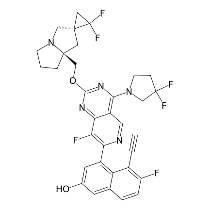 C#Cc1c(F)ccc2cc(O)cc(-c3ncc4c(N5CCC(F)(F)C5)nc(OC[C@@]56CCCN5C[C@@]5(CC5(F)F)C6)nc4c3F)c12